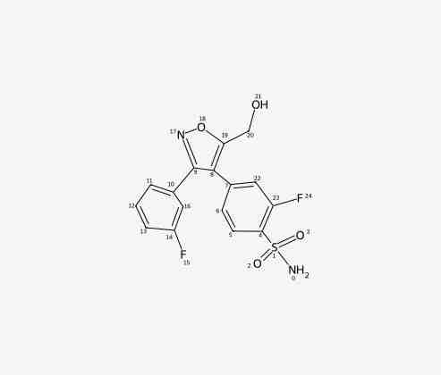 NS(=O)(=O)c1ccc(-c2c(-c3cccc(F)c3)noc2CO)cc1F